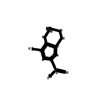 O=[N+]([O-])c1cc(I)c2c(c1)CCNC2